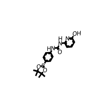 CC1(C)OB(c2ccc(NC(=O)Nc3cccc(O)n3)cc2)OC1(C)C